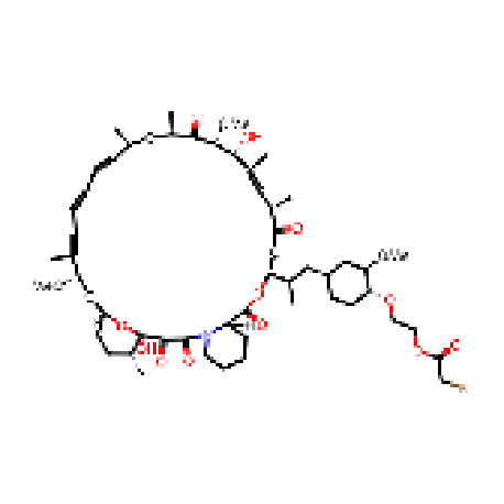 CO[C@H]1C[C@@H]2CC[C@@H](C)[C@@](O)(O2)C(=O)C(=O)N2CCCC[C@H]2C(=O)O[C@H]([C@H](C)C[C@@H]2CC[C@@H](OCCOC(=O)CBr)[C@H](OC)C2)CC(=O)[C@H](C)/C=C(\C)[C@@H](O)[C@@H](OC)C(=O)[C@H](C)C[C@H](C)/C=C/C=C/C=C/1C